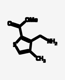 COC(=O)c1scc(C)c1CN